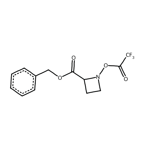 O=C(OCc1ccccc1)C1CCN1OC(=O)C(F)(F)F